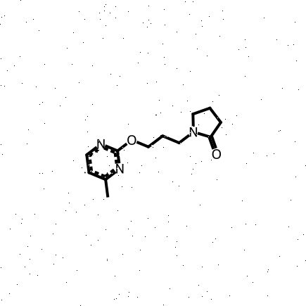 Cc1[c]cnc(OCCCN2CCCC2=O)n1